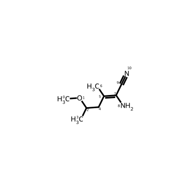 COC(C)C/C(C)=C(\N)C#N